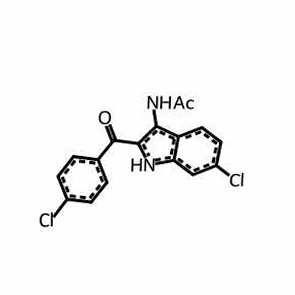 CC(=O)Nc1c(C(=O)c2ccc(Cl)cc2)[nH]c2cc(Cl)ccc12